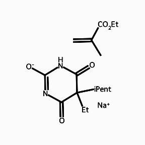 C=C(C)C(=O)OCC.CCCC(C)C1(CC)C(=O)N=C([O-])NC1=O.[Na+]